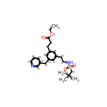 CCOC(=O)CCc1cc(CCNS(=O)(=O)CC(C)(C)C)cc(Cc2cccnc2)c1